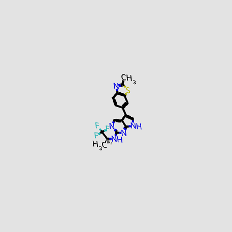 Cc1nc2ccc(-c3c[nH]c4nc(N[C@H](C)C(F)(F)F)ncc34)cc2s1